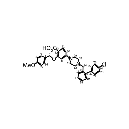 COc1ccc(COc2cc(N3CCN(Cc4ccccc4-c4ccc(Cl)cc4)CC3)ccc2C(=O)O)cc1